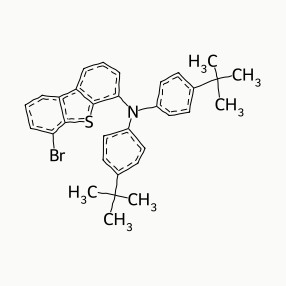 CC(C)(C)c1ccc(N(c2ccc(C(C)(C)C)cc2)c2cccc3c2sc2c(Br)cccc23)cc1